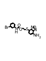 Nc1ccc(SCCOC(=O)Nc2cccc(Br)c2)c2nonc12